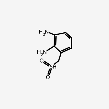 Nc1cccc(C[SH](=O)=O)c1N